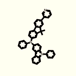 CC1(C)c2cc(-c3cccnc3)ccc2-c2ccc(N(c3ccccc3)c3ccc4c(c3)c3ccccc3n4-c3ccccc3)cc21